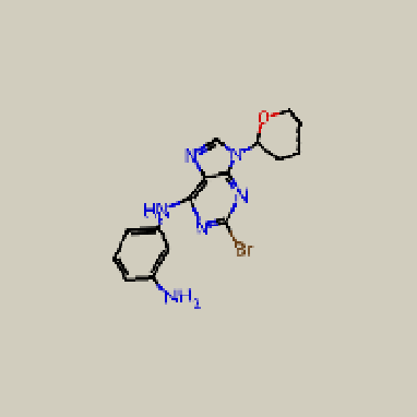 Nc1cccc(Nc2nc(Br)nc3c2ncn3C2CCCCO2)c1